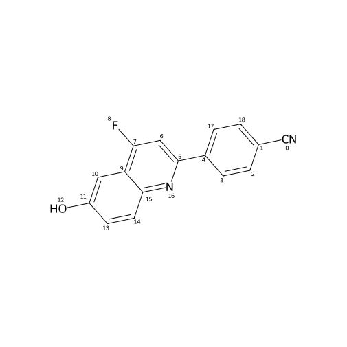 N#Cc1ccc(-c2cc(F)c3cc(O)ccc3n2)cc1